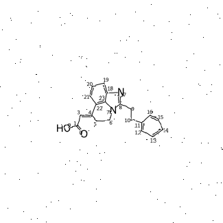 O=C(O)C=C1CCn2c(CCc3ccccc3)nc3cccc1c32